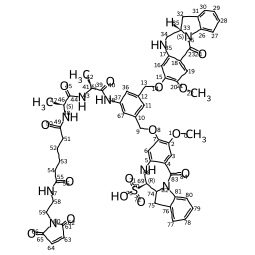 COc1cc2c(cc1OCc1cc(COc3cc4c(cc3OC)C(=O)N3c5ccccc5C[C@H]3CN4)cc(NC(=O)[C@H](C)NC(=O)[C@H](C)NC(=O)CCCCC(=O)NCCN3C(=O)C=CC3=O)c1)N[C@H](S(=O)(=O)O)C1Cc3ccccc3N1C2=O